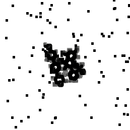 COc1ccc(-c2cnc(N3CCOCC3)cc2Nc2c(C)c(-c3ccccc3S(C)(=O)=O)nc3cc(F)cc(F)c23)cn1